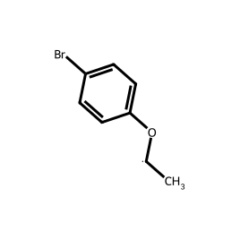 C[CH]Oc1ccc(Br)cc1